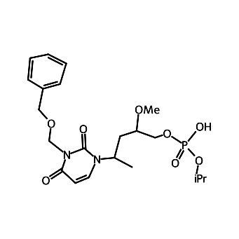 COC(COP(=O)(O)OC(C)C)CC(C)n1ccc(=O)n(COCc2ccccc2)c1=O